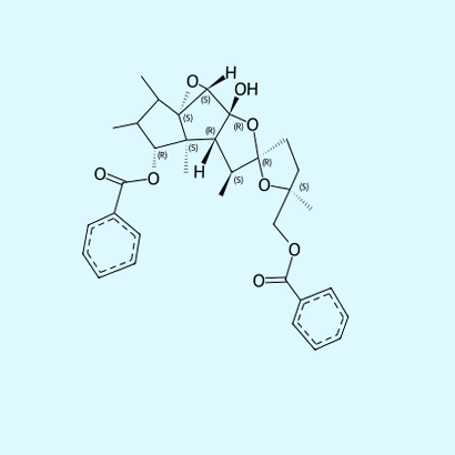 CC1C(C)[C@@]23O[C@@H]2[C@]2(O)O[C@]4(CC[C@@](C)(COC(=O)c5ccccc5)O4)[C@@H](C)[C@@H]2[C@@]3(C)[C@@H]1OC(=O)c1ccccc1